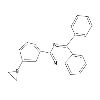 c1ccc(-c2nc(-c3cccc(B4CC4)c3)nc3ccccc23)cc1